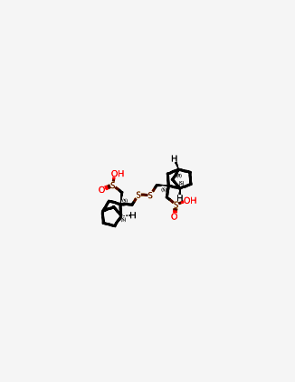 O=S(O)C[C@]1(CSSC[C@@]2(CS(=O)O)C[C@@H]3CC[C@H]2C3)CC2CC[C@H]1C2